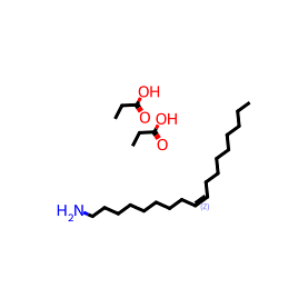 CCC(=O)O.CCC(=O)O.CCCCCCCC/C=C\CCCCCCCCN